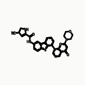 N#CC1C=C(C(=O)Nc2ccc3sc4c(-c5cccc6c(=O)cc(N7CCOCC7)oc56)cccc4c3c2)NC1